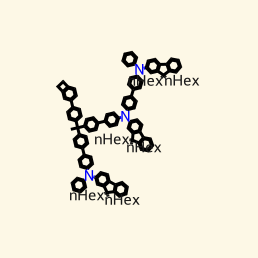 CCCCCCC1(CCCCCC)c2ccccc2-c2ccc(N(c3ccccc3)c3ccc(-c4ccc(N(c5ccc(-c6ccc(C(C)(c7ccc(-c8ccc(N(c9ccccc9)c9ccc%10c(c9)C(CCCCCC)(CCCCCC)c9ccccc9-%10)cc8)cc7)c7ccc(-c8ccc9c(c8)CC9)cc7)cc6)cc5)c5ccc6c(c5)C(CCCCCC)(CCCCCC)c5ccccc5-6)cc4)cc3)cc21